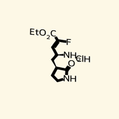 CCOC(=O)/C(F)=C/[C@@H](N)C[C@@H]1CCNC1=O.Cl